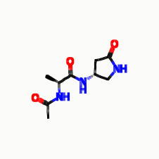 CC(=O)N[C@@H](C)C(=O)N[C@H]1CNC(=O)C1